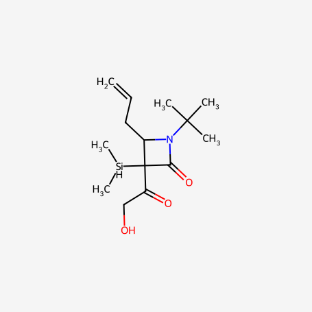 C=CCC1N(C(C)(C)C)C(=O)C1(C(=O)CO)[SiH](C)C